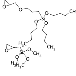 CCCCO[Si](CCCOCC1CO1)(OCCCC)OCCCC.CO[Si](CC1CO1)(OC)OC